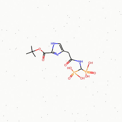 CC(C)(C)OC(=O)c1nc(CC(=O)NC(P(=O)(O)O)P(=O)(O)O)c[nH]1